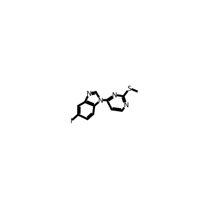 CSc1nccc(-n2cnc3cc(I)ccc32)n1